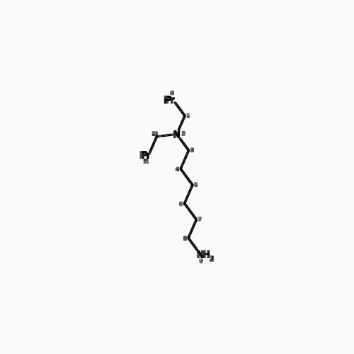 CC(C)CN(CCCCCCN)CC(C)C